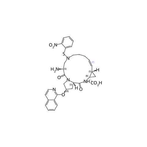 N[C@H]1CN(Sc2ccccc2[N+](=O)[O-])CCC/C=C\[C@@H]2C[C@@]2(C(=O)O)NC(=O)[C@@H]2C[C@@H](Oc3nccc4ccccc34)CN2C1=O